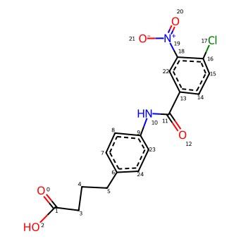 O=C(O)CCCc1ccc(NC(=O)c2ccc(Cl)c([N+](=O)[O-])c2)cc1